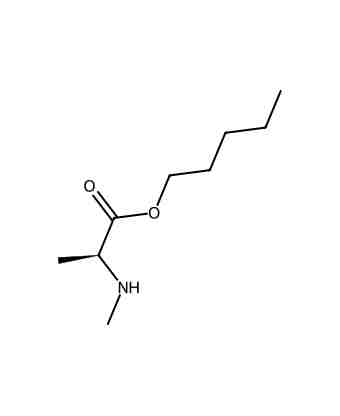 CCCCCOC(=O)[C@H](C)NC